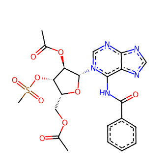 CC(=O)OC[C@H]1O[C@@H](n2cnc3ncnc-3c2NC(=O)c2ccccc2)[C@H](OC(C)=O)[C@H]1OS(C)(=O)=O